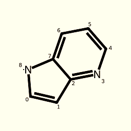 C1=Cc2ncccc2[N]1